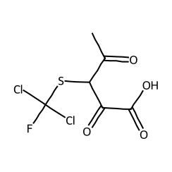 CC(=O)C(SC(F)(Cl)Cl)C(=O)C(=O)O